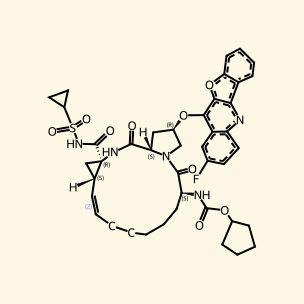 O=C(N[C@H]1CCCCC/C=C\[C@@H]2C[C@@]2(C(=O)NS(=O)(=O)C2CC2)NC(=O)[C@@H]2C[C@@H](Oc3c4cc(F)ccc4nc4c3oc3ccccc34)CN2C1=O)OC1CCCC1